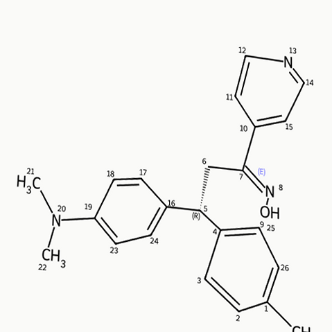 Cc1ccc([C@@H](C/C(=N\O)c2ccncc2)c2ccc(N(C)C)cc2)cc1